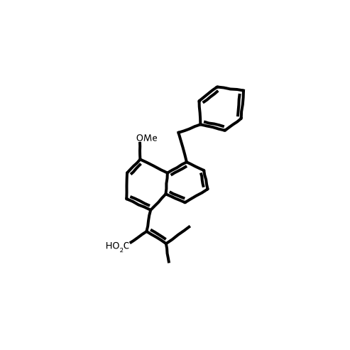 COc1ccc(C(C(=O)O)=C(C)C)c2cccc(Cc3ccccc3)c12